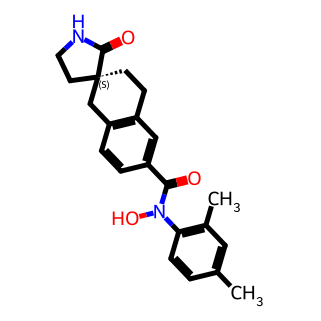 Cc1ccc(N(O)C(=O)c2ccc3c(c2)CC[C@@]2(CCNC2=O)C3)c(C)c1